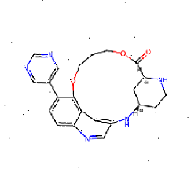 O=C1OCCCOc2c(-c3cncnc3)ccc3ncc(cc23)N[C@H]2CCN[C@H]1C2